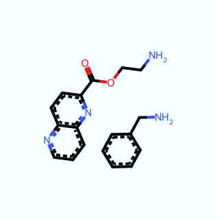 NCCOC(=O)c1ccc2ncccc2n1.NCc1ccccc1